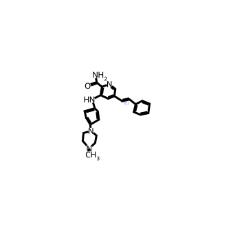 CN1CCN(c2ccc(Nc3cc(/C=C/c4ccccc4)cnc3C(N)=O)cc2)CC1